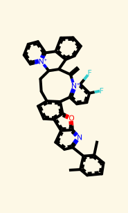 C=C1C2c3ccccc3-c3cccc[n+]3C2CCc2ccc3c(oc4nc(-c5c(C)cccc5C)ccc43)c2-c2ccc(F)c(F)[n+]21